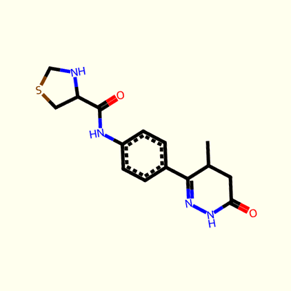 CC1CC(=O)NN=C1c1ccc(NC(=O)C2CSCN2)cc1